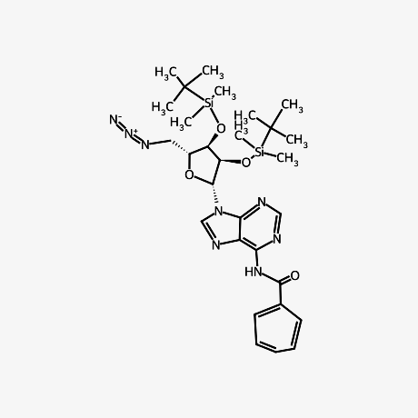 CC(C)(C)[Si](C)(C)O[C@@H]1[C@H](O[Si](C)(C)C(C)(C)C)[C@@H](CN=[N+]=[N-])O[C@H]1n1cnc2c(NC(=O)c3ccccc3)ncnc21